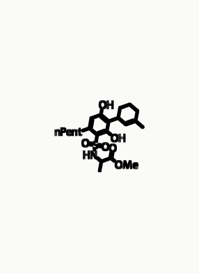 CCCCCc1cc(O)c(C2C=C(C)CCC2)c(O)c1S(=O)(=O)NC(C)C(=O)OC